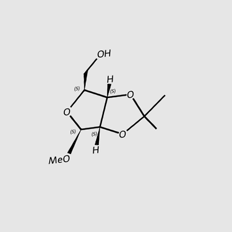 CO[C@H]1O[C@@H](CO)[C@@H]2OC(C)(C)O[C@H]12